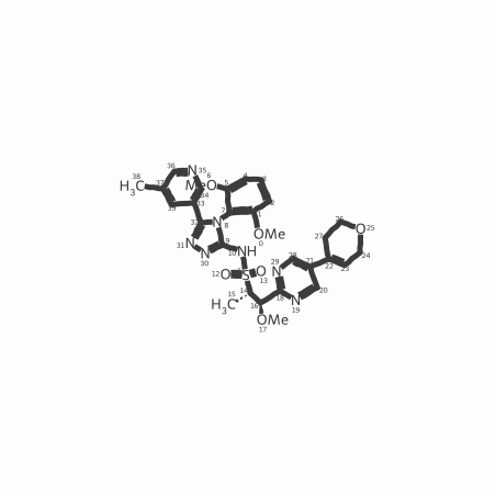 COc1cccc(OC)c1-n1c(NS(=O)(=O)[C@@H](C)[C@H](OC)c2ncc(C3=CCOCC3)cn2)nnc1-c1cncc(C)c1